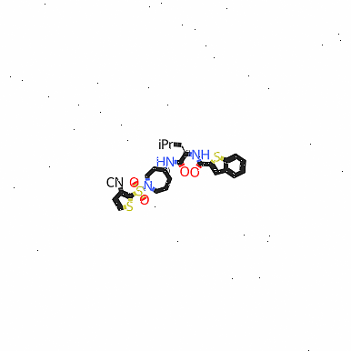 CC(C)C[C@H](NC(=O)c1cc2ccccc2s1)C(=O)N[C@@H]1CCCN(S(=O)(=O)c2sccc2C#N)CC1